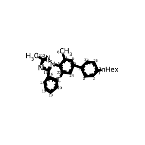 CCCCCCc1ccc(-c2cc(C)c(-n3nc(C)nc3-c3ccccc3)c(C)c2)cc1